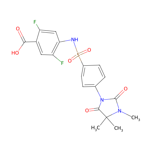 CN1C(=O)N(c2ccc(S(=O)(=O)Nc3cc(F)c(C(=O)O)cc3F)cc2)C(=O)C1(C)C